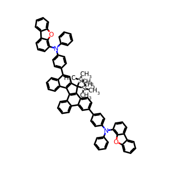 C[Si](C)(C)C1([Si](C)(C)C)c2cc(-c3ccc(N(c4ccccc4)c4cccc5c4oc4ccccc45)cc3)c3ccccc3c2-c2c1c1ccc(-c3ccc(N(c4ccccc4)c4cccc5c4oc4ccccc45)cc3)cc1c1ccccc21